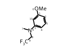 COc1cccc(N(C)CC(F)(F)F)c1